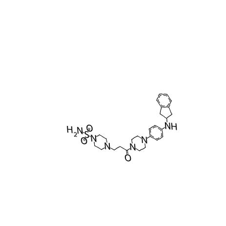 NS(=O)(=O)N1CCN(CCC(=O)N2CCN(c3ccc(NC4Cc5ccccc5C4)cc3)CC2)CC1